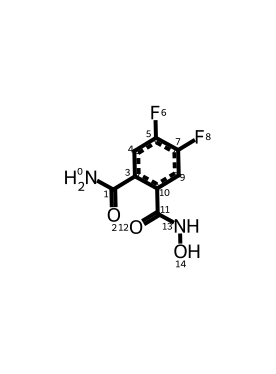 NC(=O)c1cc(F)c(F)cc1C(=O)NO